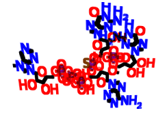 COC1C(OP([O-])(=S)OCC2OC(n3cnc4c(=O)[nH]c(N)nc43)C(O)C2OP(=O)(O)OCC2OC(n3cnc4c(=O)[nH]c(N)nc43)C(O)C2O)C(COP(=O)(O)OP(=O)(O)OP(=O)(O)OCC2OC(n3c[n+](C)c4cncnc43)C(O)C2O)OC1n1cnc2c(N)ncnc21